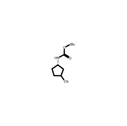 CC(C)(C)OC(=O)N[C@H]1CCC(C#N)C1